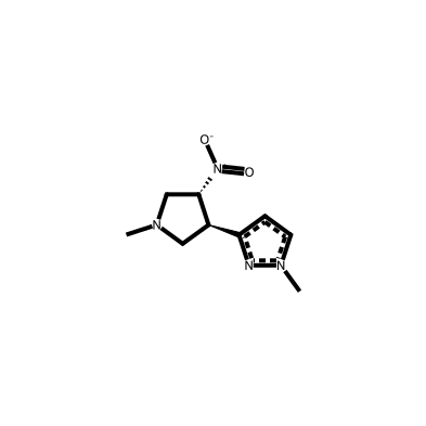 CN1C[C@H](c2ccn(C)n2)[C@@H]([N+](=O)[O-])C1